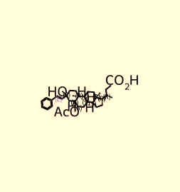 CC(=O)O[C@H]1C[C@@H]2[C@H](CC[C@]3(C)[C@@H]([C@H](C)CCC(=O)O)CC[C@@H]23)[C@@]2(C)CC[C@@](O)(/C=C/c3ccccc3)C[C@@H]12